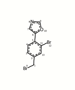 BrCc1ccc(-c2cnco2)c(Br)c1